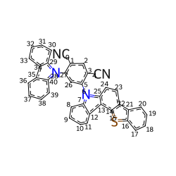 N#Cc1cc(C#N)c(-n2c3ccccc3c3c4sc5ccccc5c4ccc32)cc1-n1c2ccccc2c2ccccc21